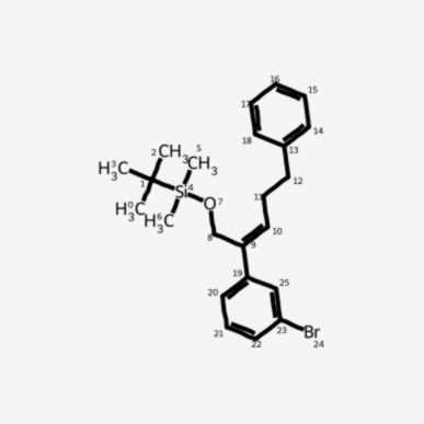 CC(C)(C)[Si](C)(C)OCC(=CCCc1ccccc1)c1cccc(Br)c1